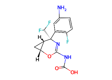 Nc1ccc(F)c([C@@]2(C(F)F)N=C(NC(=O)O)O[C@@H]3C[C@@H]32)c1